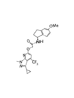 COc1ccc2c(c1)CC[C@@H]2NC(=O)COc1cc(C(F)(F)F)c2c(C3CC3)nn(C)c2n1